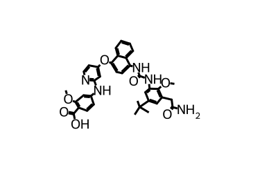 COc1cc(Nc2cc(Oc3ccc(NC(=O)Nc4cc(C(C)(C)C)cc(CC(N)=O)c4OC)c4ccccc34)ccn2)ccc1C(=O)O